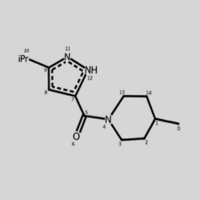 CC1CCN(C(=O)c2cc(C(C)C)n[nH]2)CC1